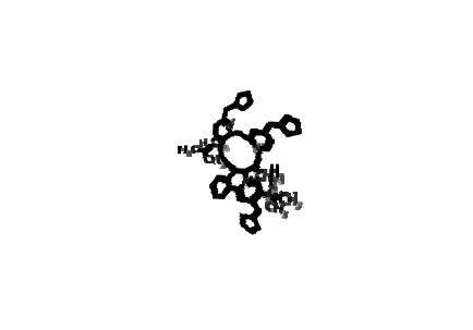 C=C1C[n+]2ccc(CC3CCCC3)cc2CC2N=C(CC3CCCC3)C=CC2(C)[C@@H](C=C(C)C)CCC2c3ccccc3-c3cc(CC4CCCC4)c([Si](C)(C)C)c[n+]3C12